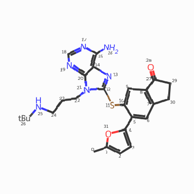 Cc1ccc(-c2cc3c(cc2Sc2nc4c(N)ncnc4n2CCCNC(C)(C)C)C(=O)CC3)o1